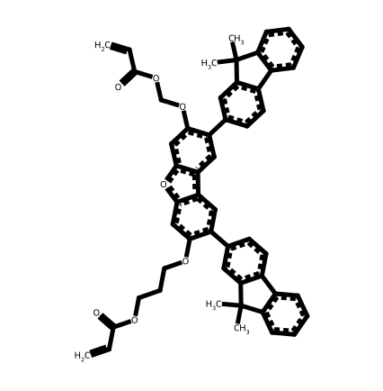 C=CC(=O)OCCCOc1cc2oc3cc(OCOC(=O)C=C)c(-c4ccc5c(c4)C(C)(C)c4ccccc4-5)cc3c2cc1-c1ccc2c(c1)C(C)(C)c1ccccc1-2